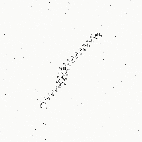 C=CCCCCCCCCOc1ccc(N2CCN(CCCCCCCCCCCCCCCCC)CC2)cc1